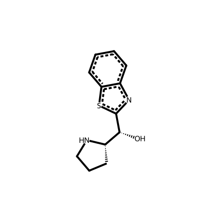 O[C@@H](c1nc2ccccc2s1)[C@@H]1CCCN1